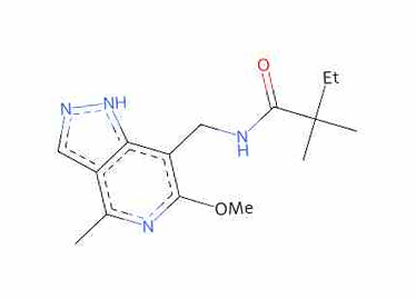 CCC(C)(C)C(=O)NCc1c(OC)nc(C)c2cn[nH]c12